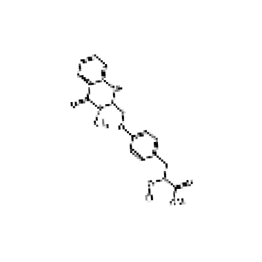 CCOC(Cc1ccc(OCC2Nc3ccccc3C(=O)N2C)cc1)C(=O)OC